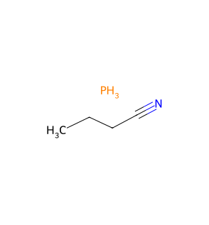 CCCC#N.P